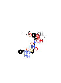 COc1ccc(OC)c(C(CNC(=O)CNC(=O)c2ccc(NC(=O)NCc3ccccc3)s2)C(=O)O)c1